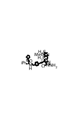 COc1c(C)cnc(Cn2cc(C#Cc3ccc(CCN[C@@H](CC(C)C)C(=O)OC4CCCC4)cc3)c3c(Cl)nc(N)nc32)c1C